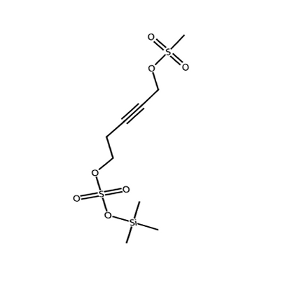 C[Si](C)(C)OS(=O)(=O)OCCC#CCOS(C)(=O)=O